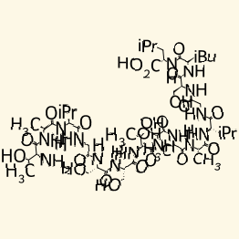 CC[C@H](C)[C@H](NC(=O)[C@H](CO)NC(=O)CNC(=O)[C@@H](NC(=O)[C@H](C)NC(=O)[C@H](C)NC(=O)[C@H](CO)NC(=O)[C@@H](NC(=O)[C@H](CO)NC(=O)[C@H](CO)NC(=O)CNC(=O)[C@@H](NC(=O)[C@H](C)NC(=O)[C@@H](N)[C@@H](C)O)C(C)C)[C@@H](C)O)C(C)C)C(=O)N[C@@H](CC(C)C)C(=O)O